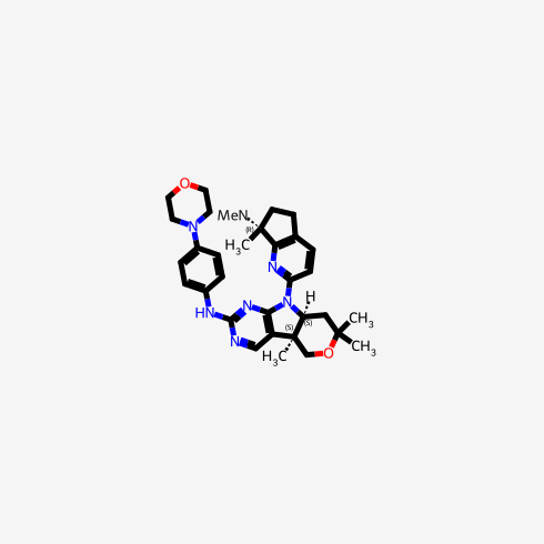 CN[C@]1(C)CCc2ccc(N3c4nc(Nc5ccc(N6CCOCC6)cc5)ncc4[C@]4(C)COC(C)(C)C[C@H]34)nc21